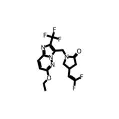 CCOc1ccc2nc(C(F)(F)F)c(CN3CC(C=C(F)F)CC3=O)n2n1